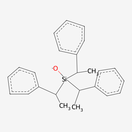 CC(c1ccccc1)[Si]([O])(C(C)c1ccccc1)C(C)c1ccccc1